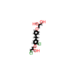 CC(C)(c1ccc(OCC(O)CO)cc1)c1ccc(OCC(O)CCl)c(Cl)c1